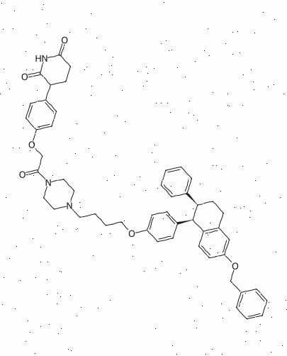 O=C1CCC(c2ccc(OCC(=O)N3CCN(CCCCOc4ccc([C@@H]5c6ccc(OCc7ccccc7)cc6CC[C@@H]5c5ccccc5)cc4)CC3)cc2)C(=O)N1